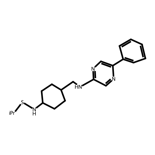 CC(C)SNC1CCC(CNc2cnc(-c3ccccc3)cn2)CC1